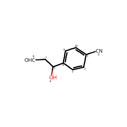 N#Cc1ccc(C(O)CC=O)cc1